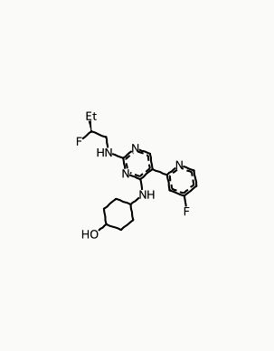 CC[C@H](F)CNc1ncc(-c2cc(F)ccn2)c(NC2CCC(O)CC2)n1